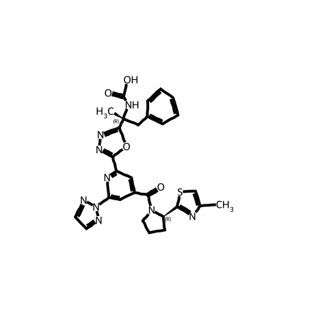 Cc1csc([C@H]2CCCN2C(=O)c2cc(-c3nnc([C@@](C)(Cc4ccccc4)NC(=O)O)o3)nc(-n3nccn3)c2)n1